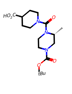 C[C@@H]1CN(C(=O)OC(C)(C)C)CCN1C(=O)N1CCC(C(=O)O)CC1